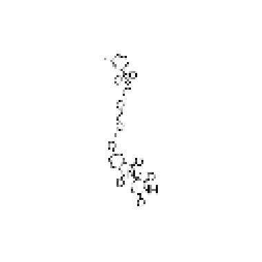 Cc1cccc(S(=O)(=O)OCCOCCOCCOc2ccc3c(c2)C(=O)N(C2(C)CCC(=O)NC2=O)C3=O)c1